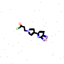 O=C(Cl)CC[n+]1ccc(-c2ccc3nonc3n2)cc1